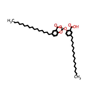 CCCCCCCCCCCCCCCCc1ccc(OB2OC(=O)c3cc(CCCCCCCCCCCCCCCC)ccc3O2)c(C(=O)O)c1